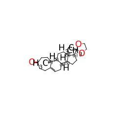 CC1([C@H]2CC[C@H]3[C@@H]4CC=C5CCC(=O)CC[C@]5(C)[C@H]4CC[C@]23C)OCCO1